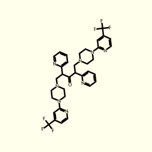 O=C(C(CN1CCN(c2cc(C(F)(F)F)ccn2)CC1)c1ccccn1)C(CN1CCN(c2cc(C(F)(F)F)ccn2)CC1)c1ccccn1